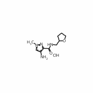 Cl.Cn1cc(N)c(C(=O)NCC2CCCO2)n1